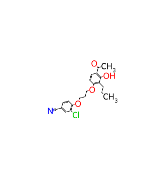 CCCc1c(OCCCOc2ccc(C#N)cc2Cl)ccc(C(C)=O)c1O